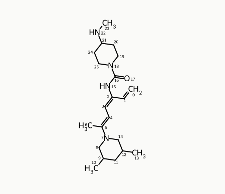 C=C/C(=C\C=C(/C)N1CC(C)CC(C)C1)NC(=O)N1CCC(NC)CC1